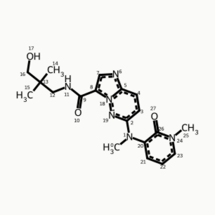 CN(c1ccc2ncc(C(=O)NCC(C)(C)CO)n2n1)c1cccn(C)c1=O